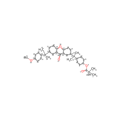 CCCC(C)(C)C(=O)Oc1ccc(C(C)(C)c2ccc3oc4ccc(C(C)(C)c5ccc(OC(C)CC)cc5)cc4c(=O)c3c2)cc1